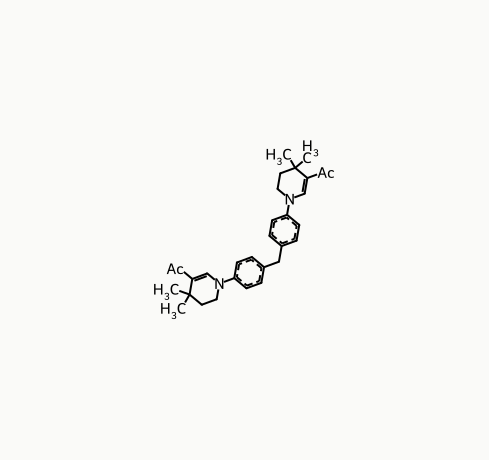 CC(=O)C1=CN(c2ccc(Cc3ccc(N4C=C(C(C)=O)C(C)(C)CC4)cc3)cc2)CCC1(C)C